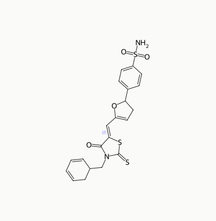 NS(=O)(=O)c1ccc(C2CC=C(/C=C3\SC(=S)N(CC4C=CC=CC4)C3=O)O2)cc1